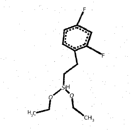 CCO[SiH](CCc1ccc(F)cc1F)OCC